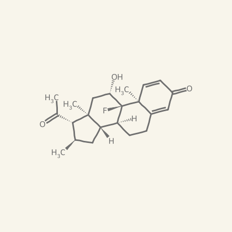 CC(=O)[C@H]1[C@H](C)C[C@H]2[C@@H]3CCC4=CC(=O)C=C[C@]4(C)[C@@]3(F)[C@@H](O)C[C@@]21C